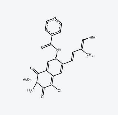 CC[C@H](C)/C=C(C)/C=C/C1=CC2=C(Cl)C(=O)[C@](C)(OC(C)=O)C(=O)C2=CN1NC(=O)c1ccncc1